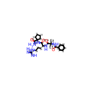 CCC(CC)(NC(=O)c1ccccc1)C(=O)N[C@H](CCCNC(=N)N)C(=O)NC1(C(N)=O)CCCC1